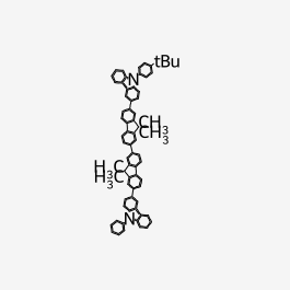 CC(C)(C)c1ccc(-n2c3ccccc3c3cc(-c4ccc5c(c4)C(C)(C)c4cc(-c6ccc7c(c6)C(C)(C)c6cc(-c8ccc9c(c8)c8ccccc8n9-c8ccccc8)ccc6-7)ccc4-5)ccc32)cc1